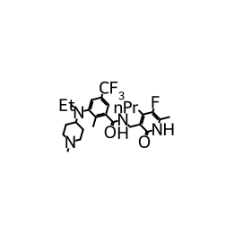 CCCc1c(F)c(C)[nH]c(=O)c1CNC(=O)c1cc(C(F)(F)F)cc(N(CC)C2CCN(C)CC2)c1C